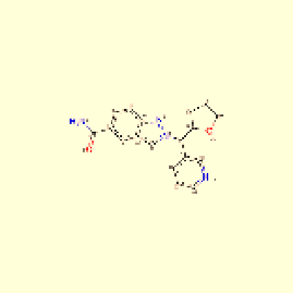 NC(=O)c1ccc2nn(C(c3cccnc3)C3CCCO3)cc2c1